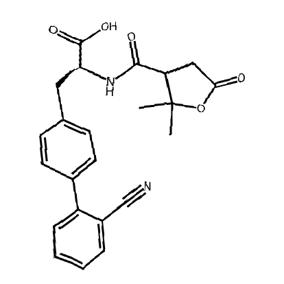 CC1(C)OC(=O)CC1C(=O)N[C@@H](Cc1ccc(-c2ccccc2C#N)cc1)C(=O)O